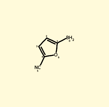 Bc1ccc(C#N)o1